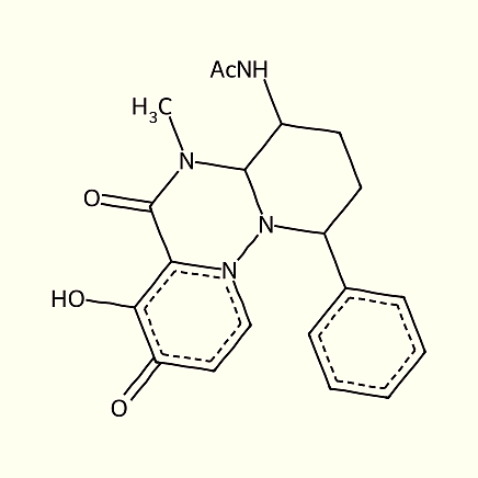 CC(=O)NC1CCC(c2ccccc2)N2C1N(C)C(=O)c1c(O)c(=O)ccn12